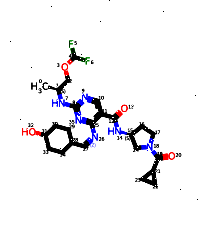 C[C@@H](COC(F)F)Nc1ncc(C(=O)N[C@H]2CCN(C(=O)C3CC3)C2)c(/N=C\C2CCC(O)CC2)n1